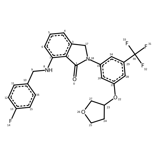 O=C1c2c(cccc2NCc2ccc(F)cc2)CN1c1cc(OC2CCOC2)cc(C(F)(F)F)c1